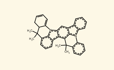 CC1(C)c2ccccc2-n2c3ccccc3c3cc4c(c1c32)c1cccc2c1n4C1=CC=CCC1C2(C)C